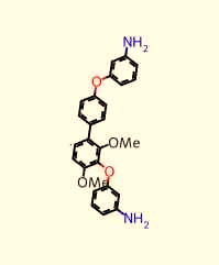 COc1c[c]c(-c2ccc(Oc3cccc(N)c3)cc2)c(OC)c1Oc1cccc(N)c1